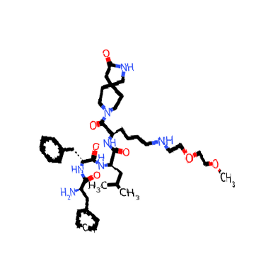 COCCOCCNCCCC[C@@H](NC(=O)[C@@H](CC(C)C)NC(=O)[C@@H](Cc1ccccc1)NC(=O)[C@H](N)Cc1ccccc1)C(=O)N1CCC2(CC1)CNC(=O)C2